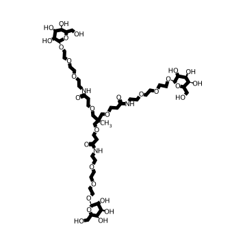 CC(COCCC(=O)NCCOCCOCCO[C@H]1OC(CO)[C@@H](O)[C@H](O)C1O)(COCCC(=O)NCCOCCOCCO[C@H]1OC(CO)[C@@H](O)[C@H](O)C1O)COCCC(=O)NCCOCCOCCO[C@H]1OC(CO)[C@@H](O)[C@H](O)C1O